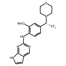 COc1cc([C@H](N2CCOCC2)C(F)(F)F)ccc1Nc1ncc2cc[nH]c2n1